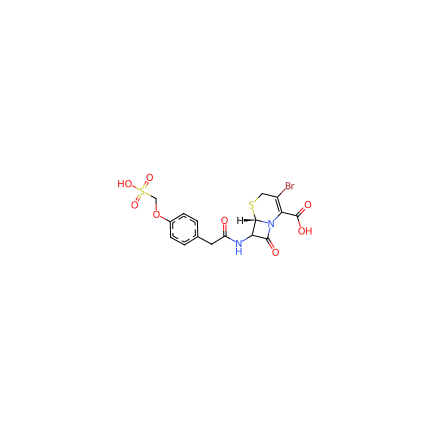 O=C(Cc1ccc(OCS(=O)(=O)O)cc1)NC1C(=O)N2C(C(=O)O)=C(Br)CS[C@@H]12